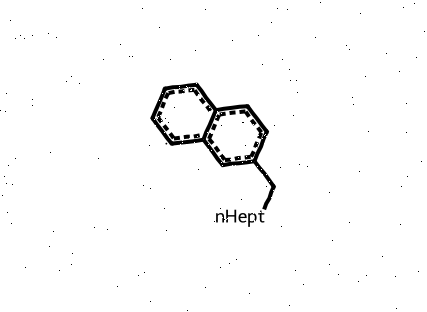 CCCCCCCCc1ccc2ccc[c]c2c1